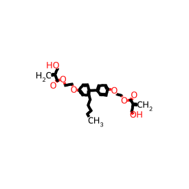 C=C(CO)C(=O)OCCOc1ccc(-c2ccc(OCCOC(=O)C(=C)CO)cc2CCCCC)cc1